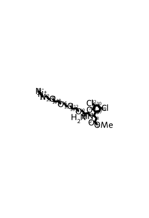 COC(=O)CC(NC(=O)[C@@H](N)COCCOCCOCCOCCN=[N+]=[N-])c1cc(Cl)cc(Cl)c1